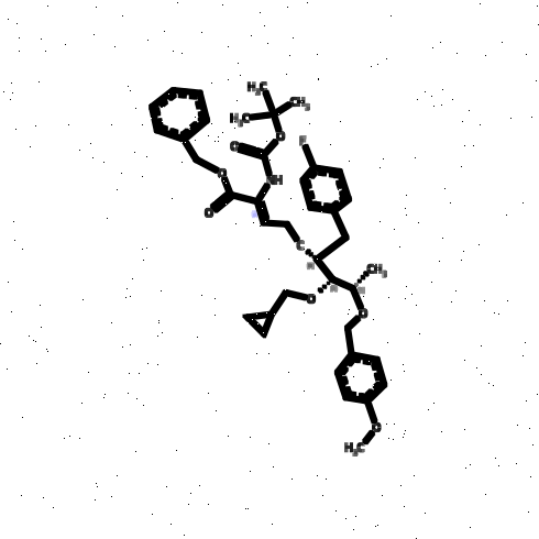 COc1ccc(CO[C@@H](C)[C@H](OCC2CC2)[C@H](CC/C=C(\NC(=O)OC(C)(C)C)C(=O)OCc2ccccc2)Cc2ccc(F)cc2)cc1